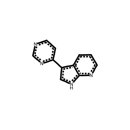 c1cnc2[nH]cc(-c3ccncn3)c2c1